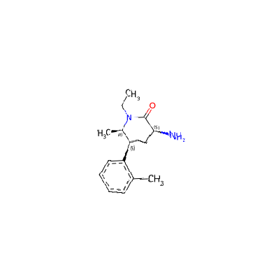 CCN1C(=O)[C@@H](N)C[C@@H](c2ccccc2C)[C@H]1C